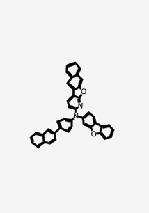 c1ccc2cc(-c3ccc(N(c4ccc5c(c4)oc4ccccc45)c4ccc5c(n4)oc4cc6ccccc6cc45)cc3)ccc2c1